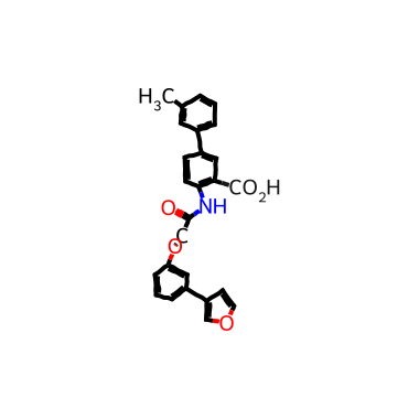 Cc1cccc(-c2ccc(NC(=O)COc3cccc(-c4ccoc4)c3)c(C(=O)O)c2)c1